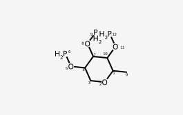 CC1OCC(OP)C(OP)C1OP